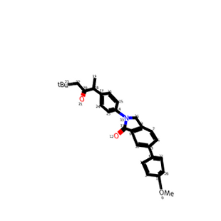 COc1ccc(-c2ccc3c(c2)C(=O)N(c2ccc(C(C)C(=O)CC(C)(C)C)cc2)C3)cc1